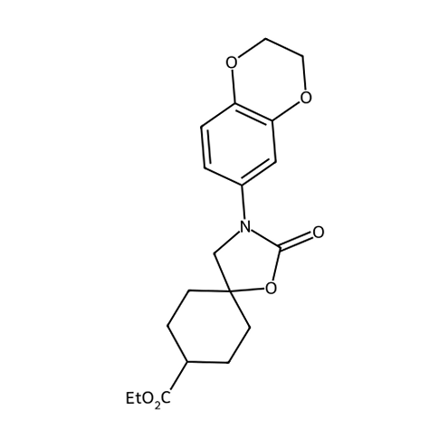 CCOC(=O)C1CCC2(CC1)CN(c1ccc3c(c1)OCCO3)C(=O)O2